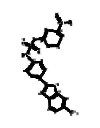 Cc1ccc2nc(-c3ccc(NS(=O)(=O)Cc4cccc([N+](=O)[O-])c4)cc3)sc2c1